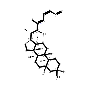 C=N/C=C\C=C(/C)[C@@H](O)[C@@H](C)[C@H]1CC[C@H]2[C@@H]3CC[C@H]4C[C@](O)(CC)CC[C@]4(C)[C@H]3CC[C@]12C